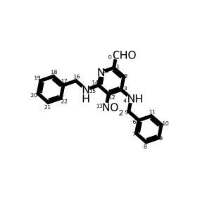 O=Cc1cc(NCc2ccccc2)c([N+](=O)[O-])c(NCc2ccccc2)n1